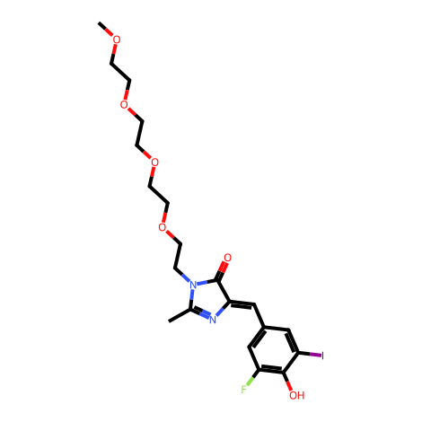 COCCOCCOCCOCCN1C(=O)/C(=C/c2cc(F)c(O)c(I)c2)N=C1C